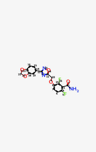 NC(=O)c1c(F)ccc(OCc2nc(-c3ccc4c(c3)OCO4)no2)c1F